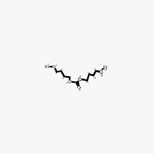 CCOCCCCOC(=O)OCCCCOCC